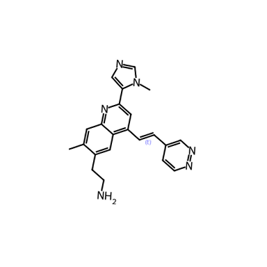 Cc1cc2nc(-c3cncn3C)cc(/C=C/c3ccnnc3)c2cc1CCN